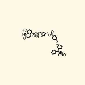 O=CNC(c1ccccc1)c1cccc(OCc2ccc(C(=O)OCc3csc(CNCC(O)c4ccc(O)c5[nH]c(=O)ccc45)c3)cc2)c1